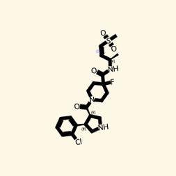 C[C@H](/C=C\S(C)(=O)=O)NC(=O)C1(F)CCN(C(=O)[C@H]2CNC[C@H]2c2ccccc2Cl)CC1